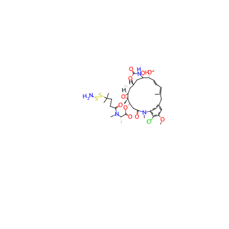 COc1cc2cc(c1Cl)N(C)C(=O)C[C@H](OC(=O)[C@H](C)N(C)C(=O)CCC(C)(C)SSN)[C@]1(C)O[C@H]1[C@H](C)[C@@H]1C[C@@](O)(NC(=O)O1)[C@H](OC)/C=C/C=C(\C)C2